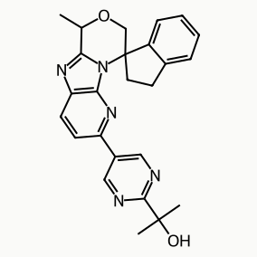 CC1OCC2(CCc3ccccc32)n2c1nc1ccc(-c3cnc(C(C)(C)O)nc3)nc12